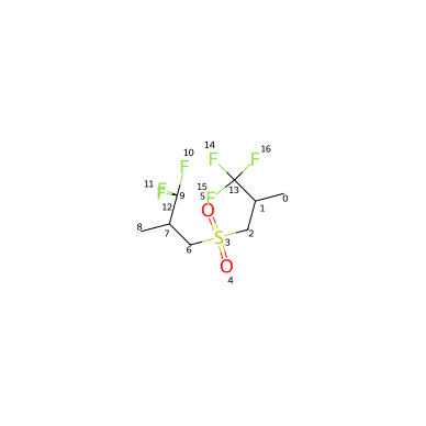 CC(CS(=O)(=O)CC(C)C(F)(F)F)C(F)(F)F